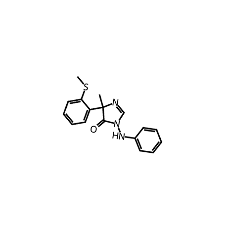 CSc1ccccc1C1(C)N=CN(Nc2ccccc2)C1=O